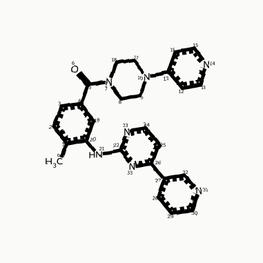 Cc1ccc(C(=O)N2CCN(c3ccncc3)CC2)cc1Nc1nccc(-c2cccnc2)n1